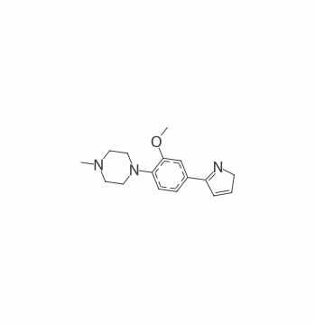 COc1cc(C2=NCC=C2)ccc1N1CCN(C)CC1